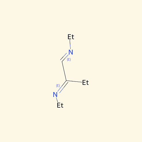 CC/N=C/C(CC)=N/CC